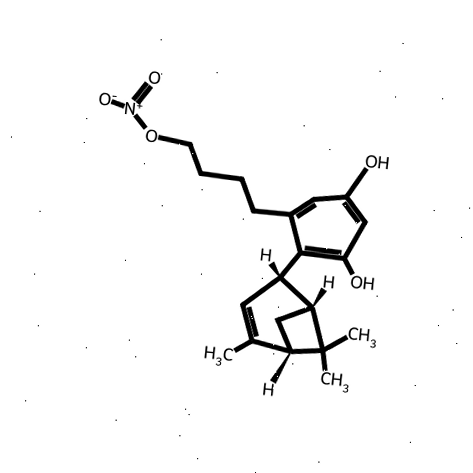 CC1=C[C@H](c2c(O)cc(O)cc2CCCCO[N+](=O)[O-])[C@H]2C[C@@H]1C2(C)C